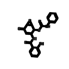 O=C(Nc1ccccc1)OC1C(NC(=O)c2ccccc2O)=CC(=O)C2OC21